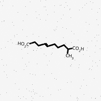 CC(CCC/C=C/CCC(=O)O)C(=O)O